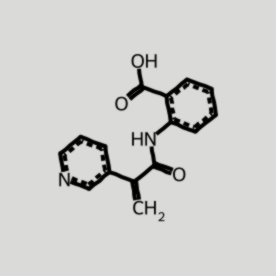 C=C(C(=O)Nc1ccccc1C(=O)O)c1cccnc1